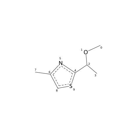 COC(C)c1nc(C)cs1